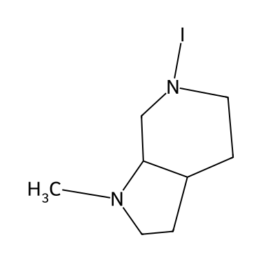 CN1CCC2CCN(I)CC21